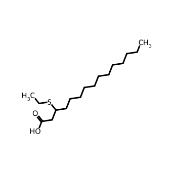 CCCCCCCCCCCCC(CC(=O)O)SCC